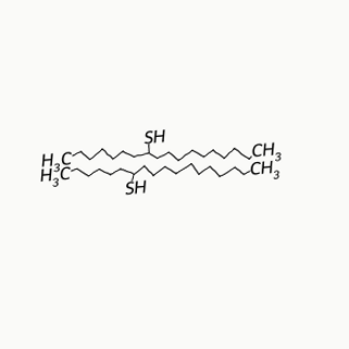 CCCCCCCCCCC(S)CCCCCCC.CCCCCCCCCCCC(S)CCCCCC